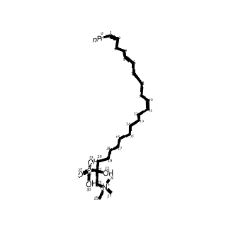 CCC/C=C\CCCCCCC/C=C\CCCCCCCCCC(O)(C[N+](C)(C)C)P(=O)(O)O